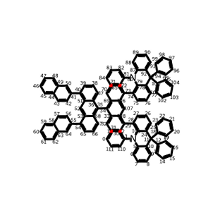 c1ccc(N2c3ccccc3C(c3ccccc3)(c3ccccc3)c3cccc(-c4cccc5c(-c6c7cccc(-c8ccc9ccccc9c8)c7cc7c(-c8ccc9ccccc9c8)cccc67)c6cccc(-c7cccc8c7N(c7ccccc7)c7ccccc7C8(c7ccccc7)c7ccccc7)c6cc45)c32)cc1